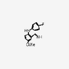 COc1ccc(Nc2ccc(F)cc2)c(C=N)c1